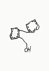 OCc1ccccc1-c1ccoc1